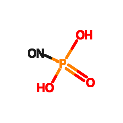 O=NP(=O)(O)O